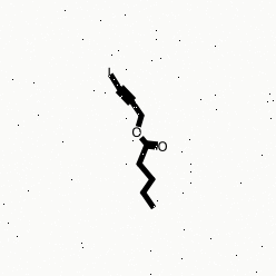 CCCCC(=O)OCC#CI